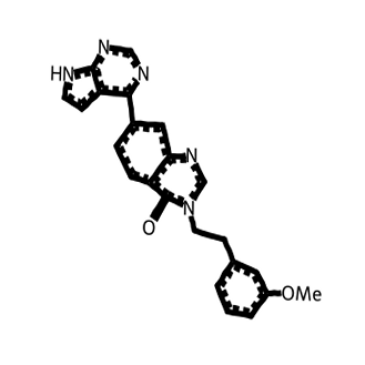 COc1cccc(CCn2cnc3cc(-c4ncnc5[nH]ccc45)ccc3c2=O)c1